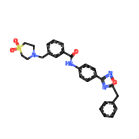 O=C(Nc1ccc(-c2noc(Cc3ccccc3)n2)cc1)c1cccc(CN2CCS(=O)(=O)CC2)c1